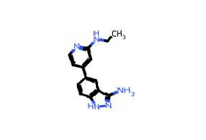 CCNc1cc(-c2ccc3[nH]nc(N)c3c2)ccn1